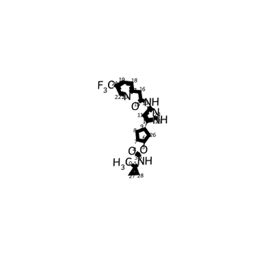 CC1(NC(=O)O[C@@H]2CC[C@H](c3cc(NC(=O)Cc4ccc(C(F)(F)F)cn4)n[nH]3)C2)CC1